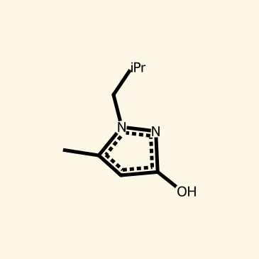 Cc1cc(O)nn1CC(C)C